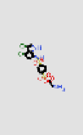 NCC(=O)OS(=O)(=O)c1ccc(S(=O)(=O)Nc2ccc(Cl)c3c(Cl)c[nH]c23)cc1